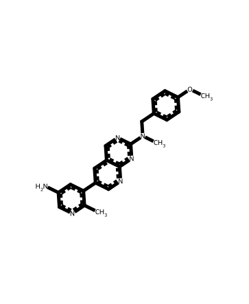 COc1ccc(CN(C)c2ncc3cc(-c4cc(N)cnc4C)cnc3n2)cc1